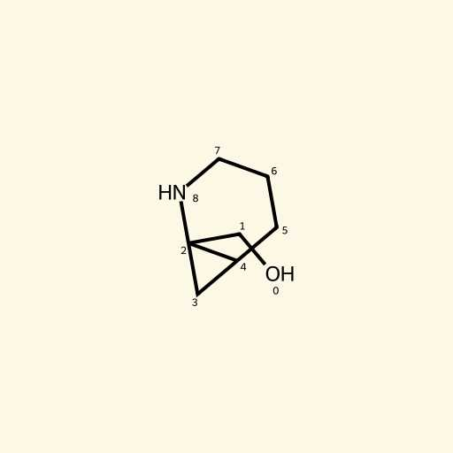 OCC12CC1CCCN2